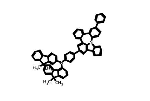 CC1(C)c2ccccc2-c2ccc(N(c3ccc(-c4cc5c6c(c4)c4ccccc4n6-c4ccc(-c6ccccc6)cc4-c4ccccc4-5)cc3)c3cccc4c3-c3ccccc3C4(C)C)cc21